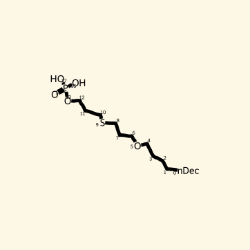 CCCCCCCCCCCCCCOCCCSCCCOP(=O)(O)O